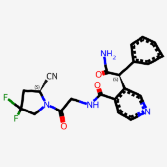 N#C[C@@H]1CC(F)(F)CN1C(=O)CNC(=O)c1ccncc1[C@@H](C(N)=O)c1ccccc1